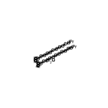 CC(C)OCCOCCOCCOCCOCCOCCOCCOCCOCCOCCOc1cccc2ccccc12.CC(C)OCCOCCOCCOCCOCCOCCOCCOCCOCCOCCOc1cccc2ccccc12.O